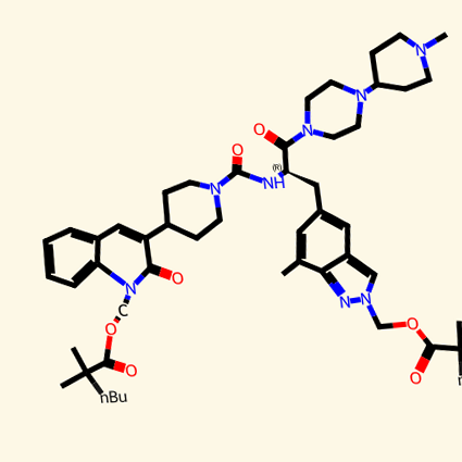 CCCCC(C)(C)C(=O)OCn1cc2cc(C[C@@H](NC(=O)N3CCC(c4cc5ccccc5n(COC(=O)C(C)(C)CCCC)c4=O)CC3)C(=O)N3CCN(C4CCN(C)CC4)CC3)cc(C)c2n1